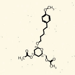 COc1ccc(CCCCCO[C@H]2C[C@@H](OC(C)=O)C[C@@H](COC(C)=O)O2)cc1